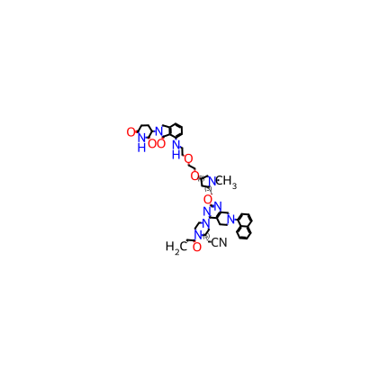 C=CC(=O)N1CCN(c2nc(OC[C@@H]3C[C@@H](OCCOCCNc4cccc5c4C(=O)N(C4CCC(=O)NC4=O)C5)CN3C)nc3c2CCN(c2cccc4ccccc24)C3)C[C@@H]1CC#N